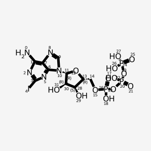 Nc1nc(I)nc2c1ncn2[C@@H]1O[C@H](COP(=O)(O)OP(=O)(O)OP(=O)(O)O)[C@@H](O)[C@H]1O